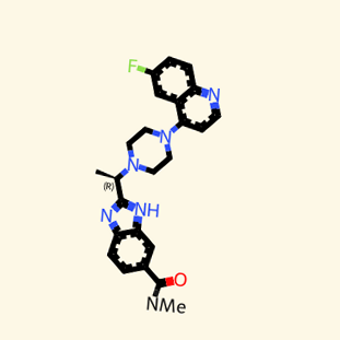 CNC(=O)c1ccc2nc([C@@H](C)N3CCN(c4ccnc5ccc(F)cc45)CC3)[nH]c2c1